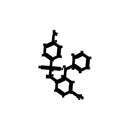 Cc1ccc(NS(=O)(=O)c2ccc(C(C)C)cc2)c(Sc2ccccn2)c1